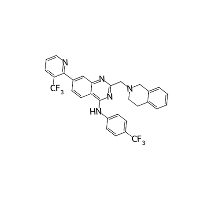 FC(F)(F)c1ccc(Nc2nc(CN3CCc4ccccc4C3)nc3cc(-c4ncccc4C(F)(F)F)ccc23)cc1